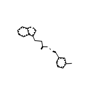 O=C(CCc1c[nH]c2ccccc12)N/N=C/c1cccc(F)c1